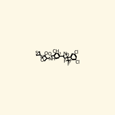 Cc1cc(C2=NOC(c3cc(Cl)cc(Cl)c3)(C(F)(F)F)C2)ccc1C(=O)NC1CON(C2CSC2)C1=O